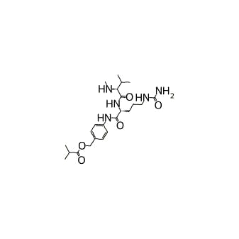 CN[C@H](C(=O)N[C@@H](CCCNC(N)=O)C(=O)Nc1ccc(COC(=O)C(C)C)cc1)C(C)C